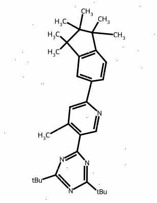 Cc1cc(-c2ccc3c(c2)C(C)(C)C(C)(C)C3(C)C)ncc1-c1nc(C(C)(C)C)nc(C(C)(C)C)n1